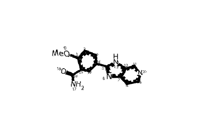 COc1ccc(-c2nc3ccncc3[nH]2)cc1C(N)=O